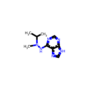 CC(C)N(C)Nc1ncnc2[nH]cnc12